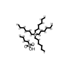 CCCCCC[N+](CCCCCC)(CCCCCC)CCCCCC.CCCCS(=O)(=O)O